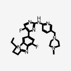 CCC1CCc2nc3c(F)cc(-c4nc(Nc5ccc(CN6CCN(C)CC6)cn5)ncc4F)cc3n21